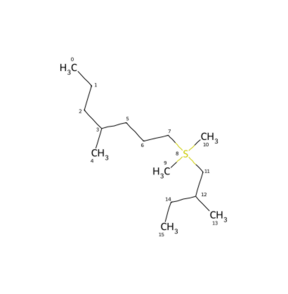 CCCC(C)CCCS(C)(C)CC(C)CC